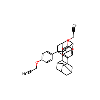 C#CCOc1ccc(C23CC4CC(CC(C4)C2C2C4CC5CC(C4)CC2(c2ccc(OCC#C)cc2)C5)C3)cc1